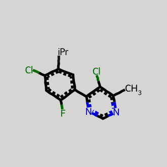 Cc1ncnc(-c2cc(C(C)C)c(Cl)cc2F)c1Cl